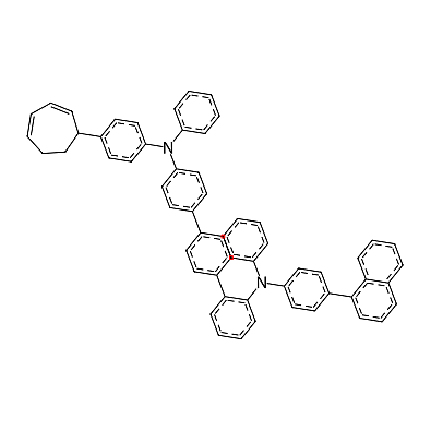 C1=CCCC(c2ccc(N(c3ccccc3)c3ccc(-c4ccc(-c5ccccc5N(c5ccccc5)c5ccc(-c6cccc7ccccc67)cc5)cc4)cc3)cc2)C=C1